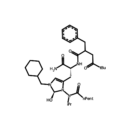 CCCCCC(=O)N(C(C)C)N1C(C[C@@H](NC(=O)C(CC(=O)C(C)(C)C)Cc2ccccc2)C(N)=O)=CN(CC2CCCCC2)[C@@H]1O